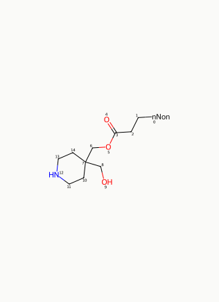 CCCCCCCCCCCC(=O)OCC1(CO)CCNCC1